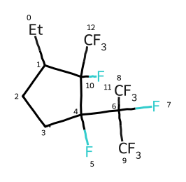 [CH2]CC1C[CH]C(F)(C(F)(C(F)(F)F)C(F)(F)F)C1(F)C(F)(F)F